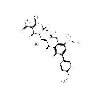 COc1ccc(-c2cc(N(C)C)c3c(c2O)C(=O)C2=C(O)C4C(=O)C(C(N)=O)=C(O)C[C@@H]4C[C@@H]2C3)cn1